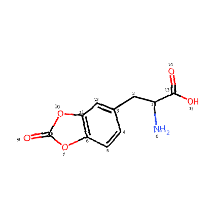 NC(Cc1ccc2oc(=O)oc2c1)C(=O)O